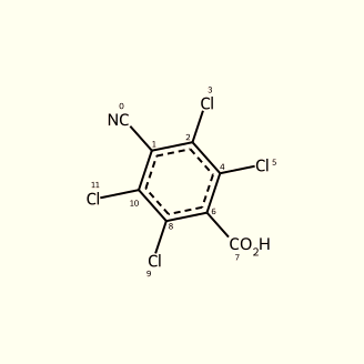 N#Cc1c(Cl)c(Cl)c(C(=O)O)c(Cl)c1Cl